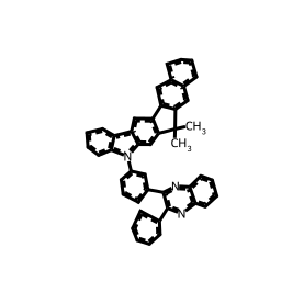 CC1(C)c2cc3ccccc3cc2-c2cc3c4ccccc4n(-c4cccc(-c5nc6ccccc6nc5-c5ccccc5)c4)c3cc21